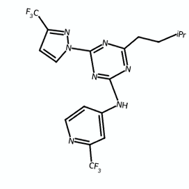 CC(C)CCc1nc(Nc2ccnc(C(F)(F)F)c2)nc(-n2ccc(C(F)(F)F)n2)n1